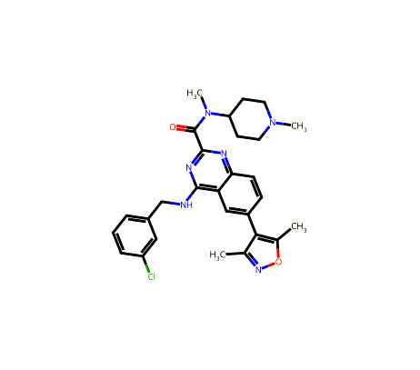 Cc1noc(C)c1-c1ccc2nc(C(=O)N(C)C3CCN(C)CC3)nc(NCc3cccc(Cl)c3)c2c1